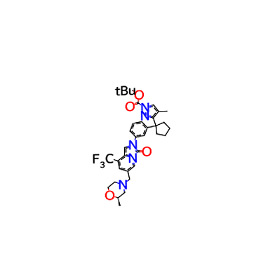 Cc1cn(C(=O)OC(C)(C)C)nc1C1(c2cccc(-n3cc4c(C(F)(F)F)cc(CN5CCO[C@H](C)C5)cn4c3=O)c2)CCCC1